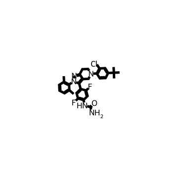 Cc1cccc(C)c1-n1nc2c(c1-c1cc(F)c(NC(N)=O)cc1F)CN(c1ccc(C(C)(C)C)cc1Cl)CC2